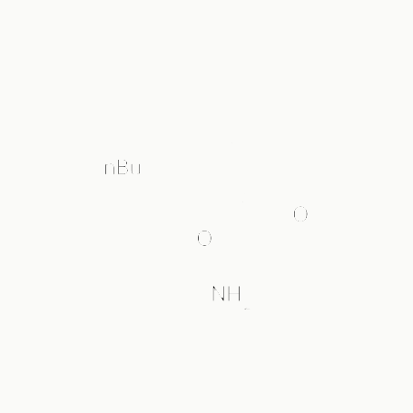 CCCCC=C(C)C(=O)ON